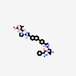 COC(=O)N[C@H](C(=O)N1CCC[C@H]1c1ncc(-c2ccc3cc(-c4ccc(-c5cnc([C@@H]6C[C@H]7CC7N6C(=O)[C@@H](c6ccccc6)N(C)C)[nH]5)cc4)ccc3c2)[nH]1)C(C)C